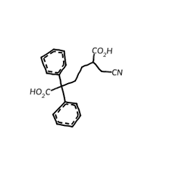 N#CCC(CCC(C(=O)O)(c1ccccc1)c1ccccc1)C(=O)O